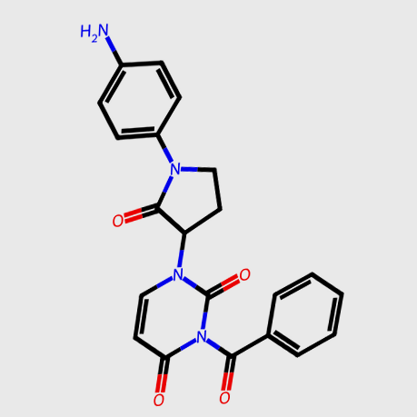 Nc1ccc(N2CCC(n3ccc(=O)n(C(=O)c4ccccc4)c3=O)C2=O)cc1